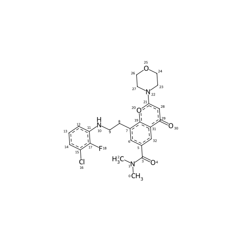 CN(C)C(=O)c1cc(CCNc2cccc(Cl)c2F)c2oc(N3CCOCC3)cc(=O)c2c1